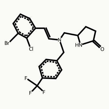 O=C1CCC(CN(C=Cc2cccc(Br)c2Cl)Cc2ccc(C(F)(F)F)cc2)N1